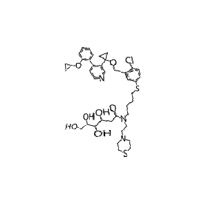 O=C(CC(O)C(O)C(O)CO)N(CCCCSc1ccc(Cl)c(COC2(c3cnccc3-c3ccccc3OC3CC3)CC2)c1)CCN1CCSCC1